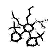 CCCCc1c(OP(O)O)cc(-c2ccccc2C(C)(C)C)c(-c2ccccc2C(C)(C)C)c1CCCC